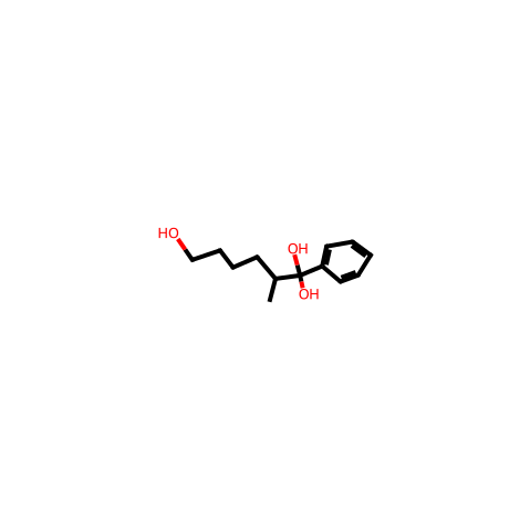 CC(CCCCO)C(O)(O)c1ccccc1